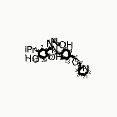 CC(C)c1cc(-c2nnc(O)n2Cc2ccc(COCc3ccccn3)cc2)c(O)cc1O